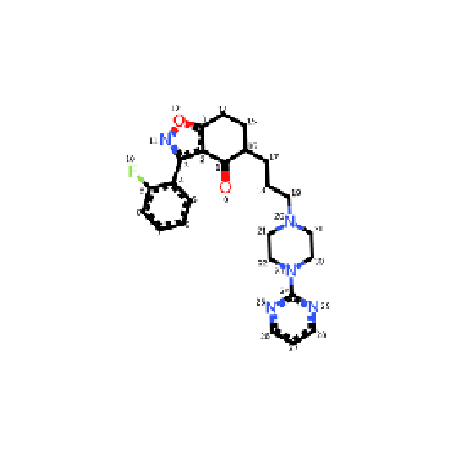 O=C1c2c(-c3ccccc3F)noc2CCC1CCCN1CCN(c2ncccn2)CC1